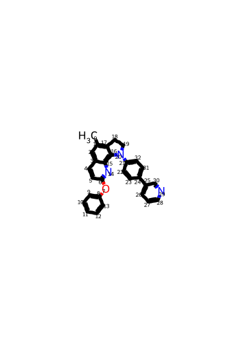 Cc1cc2ccc(Oc3ccccc3)nc2c2c1CCN2c1ccc(-c2cccnc2)cc1